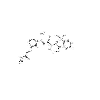 Cl.O=C(C=Cc1cccc(C=CC(=O)N2CCCC(c3ccccc3C(F)(F)F)C2)n1)NO